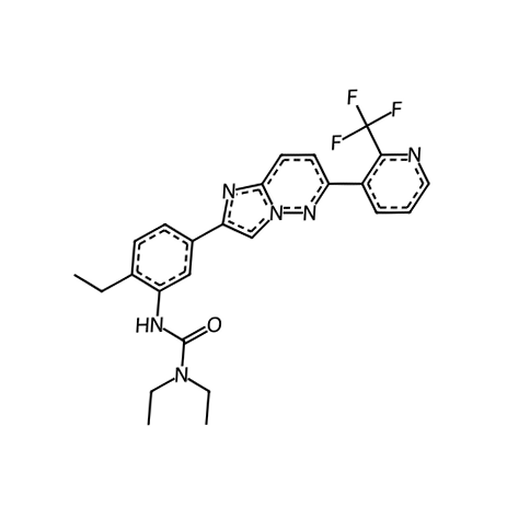 CCc1ccc(-c2cn3nc(-c4cccnc4C(F)(F)F)ccc3n2)cc1NC(=O)N(CC)CC